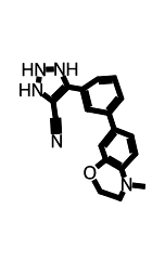 CN1CCOc2cc(-c3cccc(C4=C(C#N)NNN4)c3)ccc21